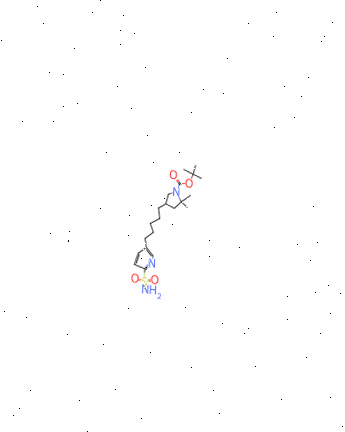 CC(C)(C)OC(=O)N1CC(CCCCCc2ccc(S(N)(=O)=O)nc2)CC1(C)C